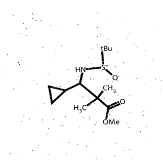 COC(=O)C(C)(C)C(N[S+]([O-])C(C)(C)C)C1CC1